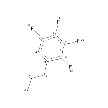 CCCc1cc(F)c(F)c(F)c1F